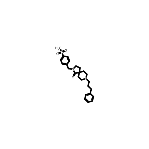 CS(=O)(=O)c1ccc(CN2CCC3(CCN(CC[CH]c4ccccc4)CC3)C2=O)cc1